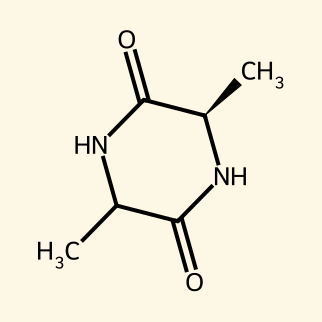 CC1NC(=O)[C@@H](C)NC1=O